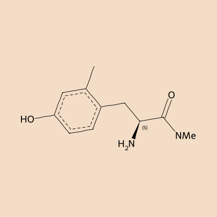 CNC(=O)[C@@H](N)Cc1ccc(O)cc1C